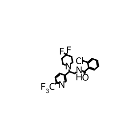 O=C(NCC(c1ccc(C(F)(F)F)nc1)N1CCC(F)(F)CC1)c1ccccc1Cl